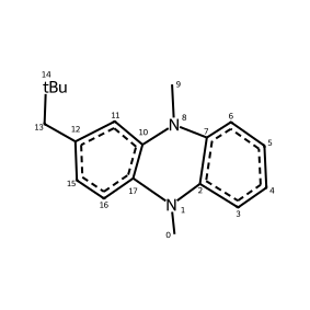 CN1c2ccccc2N(C)c2cc(CC(C)(C)C)ccc21